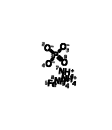 O=P([O-])([O-])[O-].[Fe].[NH4+].[NH4+].[NH4+]